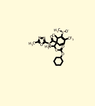 Cc1nnc(NC(=O)C2(C(C)OC(=O)OC3CCCCC3)C=CC(C(F)(F)F)=C([S+](C)[O-])C2Cl)o1